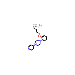 CCOC(=O)CCCCOc1ccccc1N1CCN(c2ccncc2)CC1